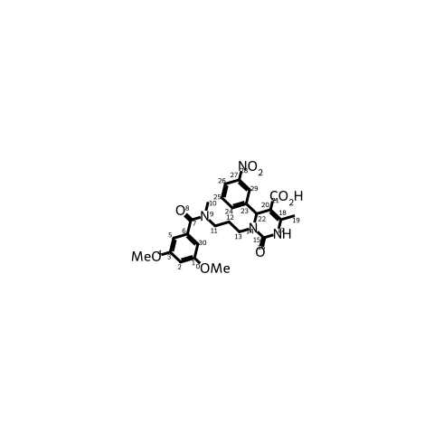 COc1cc(OC)cc(C(=O)N(C)CCCN2C(=O)NC(C)=C(C(=O)O)C2c2cccc([N+](=O)[O-])c2)c1